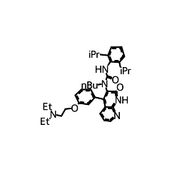 CCCCN(C(=O)Nc1c(C(C)C)cccc1C(C)C)c1c(-c2cccc(OCCN(CC)CC)c2)c2cccnc2[nH]c1=O